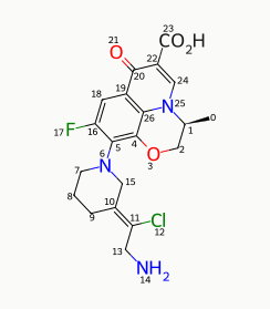 C[C@H]1COc2c(N3CCCC(=C(Cl)CN)C3)c(F)cc3c(=O)c(C(=O)O)cn1c23